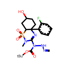 C=NNN(C(=O)OC(C)(C)C)C1=NC2(c3ccccc3F)CCC(O)CC2S(=O)(=O)N1C